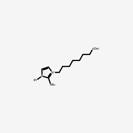 CCCCCCCCCCCCCCCCC[n+]1ccn(C(C)C)c1CCCC